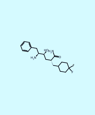 NC(=O)[C@H](CC1CCC(F)(F)CC1)C[C@H](O)[C@@H](N)Cc1ccccc1